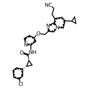 N#CCCc1cc(C2CC2)cn2cc(COc3ccnc(NC(=O)[C@H]4C[C@@H]4c4cccc(Cl)c4)c3)nc12